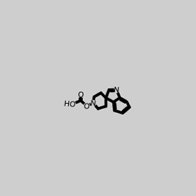 O=C(O)ON1CCC2(C=Nc3ccccc32)CC1